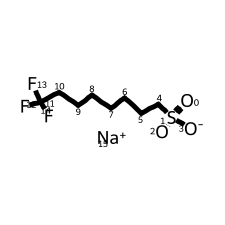 O=S(=O)([O-])CCCCCCCC(F)(F)F.[Na+]